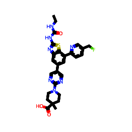 CCNC(=O)Nc1nc2cc(-c3cnc(N4CCC(C)(C(=O)O)CC4)nc3)cc(-c3ccc(CF)cn3)c2s1